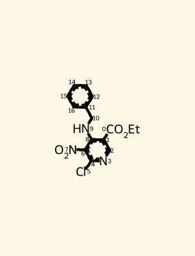 CCOC(=O)c1cnc(Cl)c([N+](=O)[O-])c1NCc1ccccc1